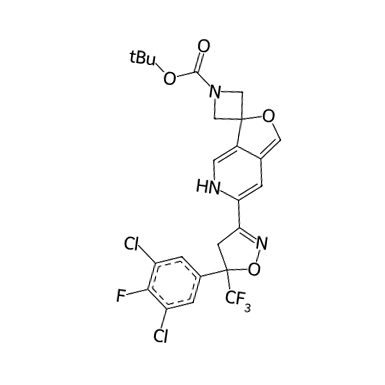 CC(C)(C)OC(=O)N1CC2(C1)OC=C1C=C(C3=NOC(c4cc(Cl)c(F)c(Cl)c4)(C(F)(F)F)C3)NC=C12